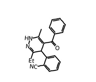 CCC1=NNC(C)=C(C(=O)c2ccccc2)C1c1ccccc1C#N